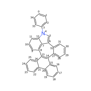 c1ccc(-n2cc3c4c(cccc42)-c2c(c4ccccc4c4ccccc24)-c2ccccc2-3)cc1